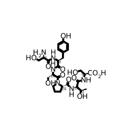 C[C@@H](O)[C@H](NC(=O)[C@@H]1CCCN1C(=O)[C@H](CO)NC(=O)[C@H](Cc1ccc(O)cc1)NC(=O)[C@@H](N)CO)C(=O)N[C@@H](CO)C(=O)O